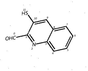 O=Cc1nc2ccccc2cc1S